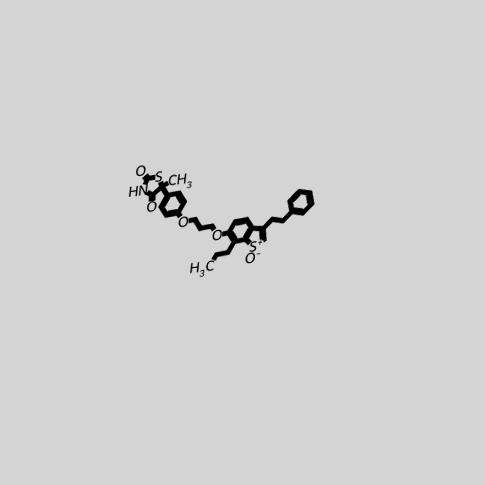 CCCc1c(OCCCOc2ccc(C3(C)SC(=O)NC3=O)cc2)ccc2c(CCc3ccccc3)c[s+]([O-])c12